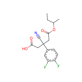 CCC(C)OC(=O)CC(C#N)(CC(=O)O)c1ccc(F)c(F)c1